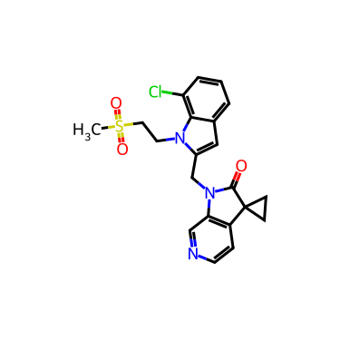 CS(=O)(=O)CCn1c(CN2C(=O)C3(CC3)c3ccncc32)cc2cccc(Cl)c21